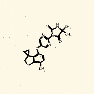 Cc1ccc(Oc2cnc(N3C(=O)NC(C)(C)C3=O)nc2)c2c1OCC21CC1